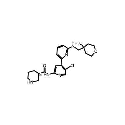 CC1(CNc2cccc(-c3cc(NC(=O)[C@@H]4CCCNC4)ncc3Cl)n2)CCOCC1